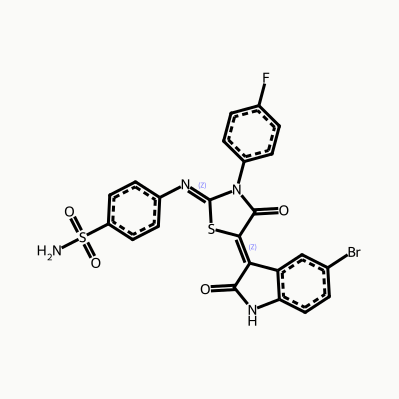 NS(=O)(=O)c1ccc(/N=C2\S/C(=C3\C(=O)Nc4ccc(Br)cc43)C(=O)N2c2ccc(F)cc2)cc1